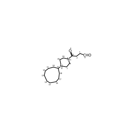 O=CCCC(=O)N1CCN(C2CCCCCCCCC2)CC1